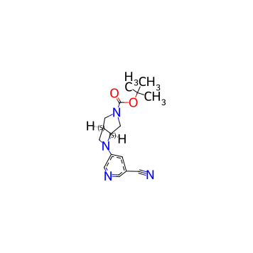 CC(C)(C)OC(=O)N1C[C@@H]2CN(c3cncc(C#N)c3)[C@@H]2C1